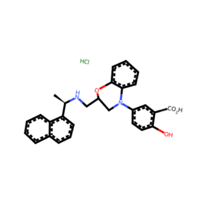 C[C@@H](NCC1CN(c2ccc(O)c(C(=O)O)c2)c2ccccc2O1)c1cccc2ccccc12.Cl